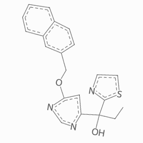 CCC(O)(c1cc(OCc2ccc3ccccc3c2)ncn1)c1nccs1